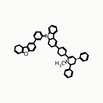 CN1C(C2C=CC(C3=CC4c5ccccc5N(c5cccc(-c6ccc7oc8c(c7c6)CCC=C8)c5)C4CC3)CC2)=C[C@@H](c2ccccc2)CC1c1ccccc1